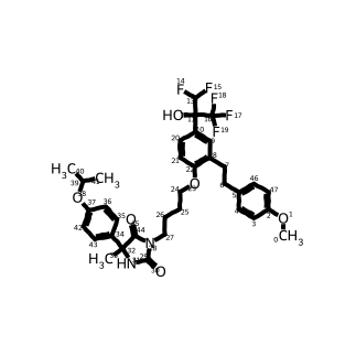 COc1ccc(CCc2cc(C(O)(C(F)F)C(F)(F)F)ccc2OCCCCN2C(=O)NC(C)(c3ccc(OC(C)C)cc3)C2=O)cc1